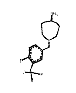 NC1CCN(Cc2ccc(F)c(C(F)(F)F)c2)CC1